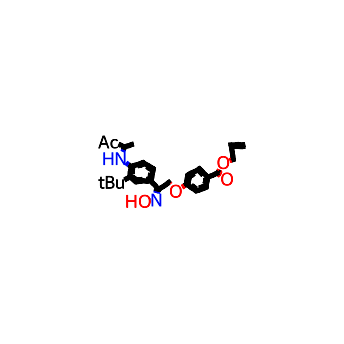 C=CCOC(=O)c1ccc(OCC(=NO)c2ccc(NC(C)C(C)=O)c(C(C)(C)C)c2)cc1